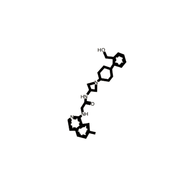 Cc1ccc2ccnc(NCC(=O)NC3CN(C4CCC(c5ccccc5CO)CC4)C3)c2c1